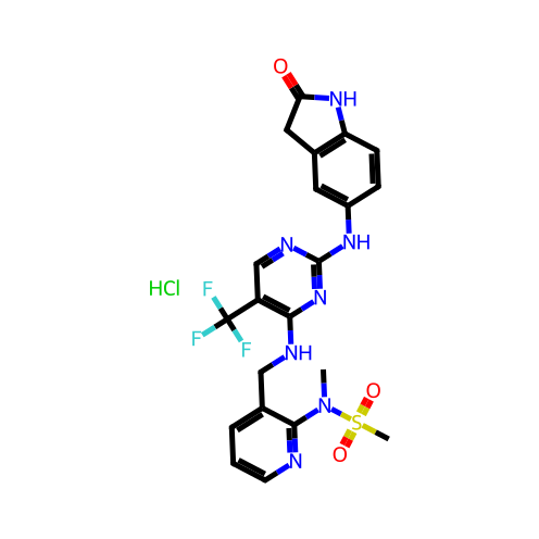 CN(c1ncccc1CNc1nc(Nc2ccc3c(c2)CC(=O)N3)ncc1C(F)(F)F)S(C)(=O)=O.Cl